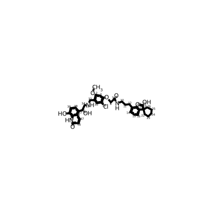 COc1cc(OCC(=O)NCCCc2cccc(C3(C(=O)O)CCCCC3)c2)c(Cl)cc1CNC[C@H](O)c1ccc(O)c2[nH]c(=O)ccc12